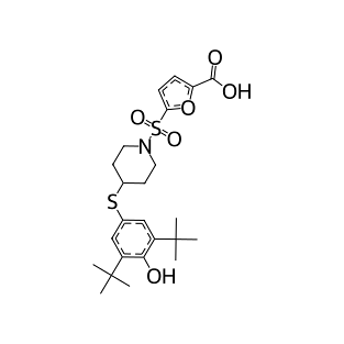 CC(C)(C)c1cc(SC2CCN(S(=O)(=O)c3ccc(C(=O)O)o3)CC2)cc(C(C)(C)C)c1O